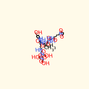 CC(C)[C@H](NC(=O)CNC(=O)CNC(=O)CCCCCN1C(=O)C=CC1=O)C(=O)N[C@@H](CCCCNC(=O)CN(CCN(CC(=O)O)CC(=O)O)CC(=O)O)C(=O)Nc1ccc(CO)cc1